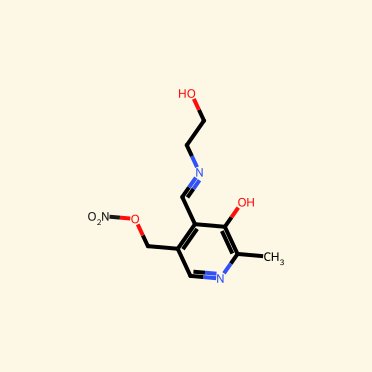 Cc1ncc(CO[N+](=O)[O-])c(C=NCCO)c1O